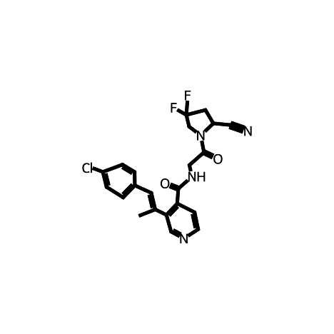 C/C(=C\c1ccc(Cl)cc1)c1cnccc1C(=O)NCC(=O)N1CC(F)(F)CC1C#N